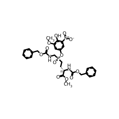 COC(=O)[C@H](CCP(=O)(CNC(=O)OCc1ccccc1)Oc1cc(OC)c(O)c([N+](=O)[O-])c1)NC(=O)OCc1ccccc1